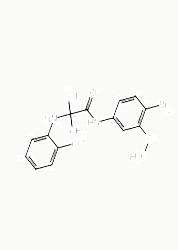 COc1cc(NC(=O)C(C)(C)Nc2ccccc2Cl)ccc1Br